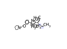 CC=C=C(/C(C)=C/C=C\C)c1c(C)nc(-c2cccc(OCCN3CCCCC3)c2)nc1Cl